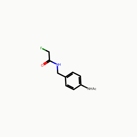 CC(=O)Nc1ccc(CNC(=O)CF)cc1